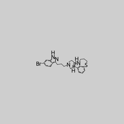 Brc1ccc2c(CCCN3CC[C@H]4[C@@H](C3)c3cccc5c3N4CCCS5)n[nH]c2c1